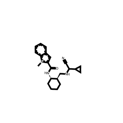 Cn1c(C(=O)N[C@H]2CCCC[C@@H]2CNC(C#N)C2CC2)cc2ccccc21